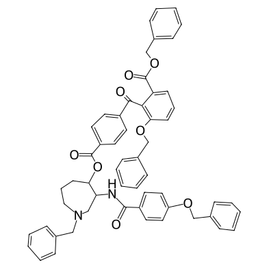 O=C(NC1CN(Cc2ccccc2)CCCC1OC(=O)c1ccc(C(=O)c2c(OCc3ccccc3)cccc2C(=O)OCc2ccccc2)cc1)c1ccc(OCc2ccccc2)cc1